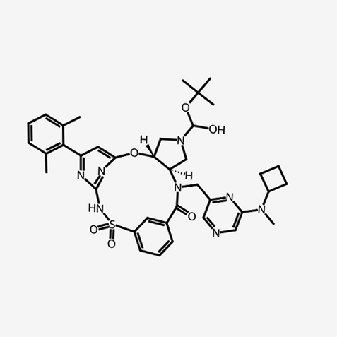 Cc1cccc(C)c1-c1cc2nc(n1)NS(=O)(=O)c1cccc(c1)C(=O)N(Cc1cncc(N(C)C3CCC3)n1)[C@@H]1CN(C(O)OC(C)(C)C)C[C@H]1O2